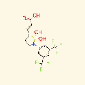 O=C(O)C=CC1CCN(c2cc(C(F)(F)F)cc(C(F)(F)F)c2)S1(O)O